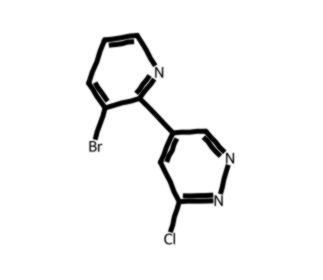 Clc1cc(-c2ncccc2Br)cnn1